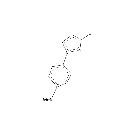 CNc1ccc(-n2ccc(F)n2)cc1